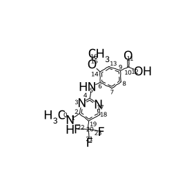 CNc1nc(Nc2ccc(C(=O)O)cc2OC)ncc1C(F)(F)F